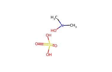 CN(C)O.O=S(=O)(O)O